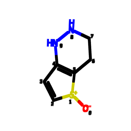 [O-][s+]1ccc2c1CCNN2